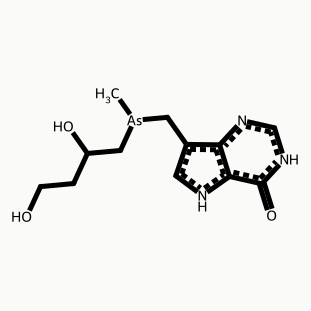 C[As](Cc1c[nH]c2c(=O)[nH]cnc12)CC(O)CCO